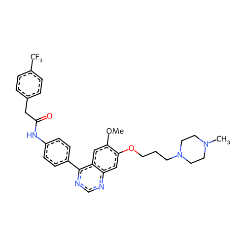 COc1cc2c(-c3ccc(NC(=O)Cc4ccc(C(F)(F)F)cc4)cc3)ncnc2cc1OCCCN1CCN(C)CC1